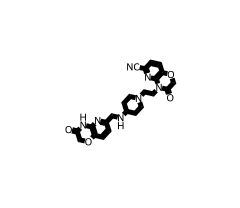 N#Cc1ccc2c(n1)N(CCN1CCC(NCc3ccc4c(n3)NC(=O)CO4)CC1)C(=O)CO2